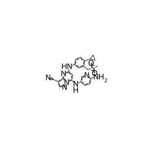 CS(=O)(=O)Cc1cc(Nc2cc(Nc3ccc(N)nc3)n3ncc(C#N)c3n2)ccc1C1CC1